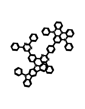 c1ccc(-c2cc(-c3ccc(-n4c5ccccc5c5cc6c7ccccc7n(-c7ccccc7)c6cc54)c(-c4cc(-c5ccccc5)nc(-c5ccc(-c6cc7c8c(c6)N(c6ccccc6)c6ccccc6B8c6ccccc6N7c6ccccc6)cc5)n4)c3)nc(-c3ccccc3)n2)cc1